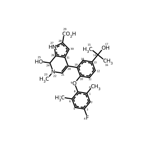 Cc1cc(F)cc(C)c1Oc1ccc(C(C)(C)O)cc1C1=CN(C)C(O)c2[nH]c(C(=O)O)cc21